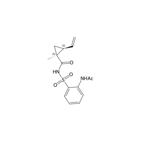 C=C[C@@H]1C[C@]1(C)C(=O)NS(=O)(=O)c1ccccc1NC(C)=O